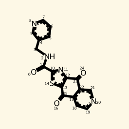 O=C(NCc1cccnc1)c1nc2c(s1)C(=O)c1ccncc1C2=O